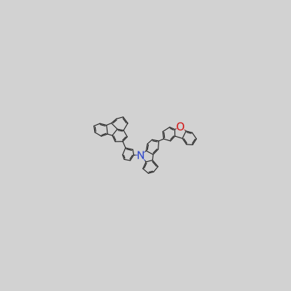 c1cc(-c2cc3c4c(cccc4c2)-c2ccccc2-3)cc(-n2c3ccccc3c3cc(-c4ccc5oc6ccccc6c5c4)ccc32)c1